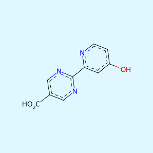 O=C(O)c1cnc(-c2cc(O)ccn2)nc1